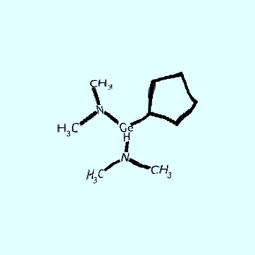 C[N](C)[GeH]([CH]1CCCC1)[N](C)C